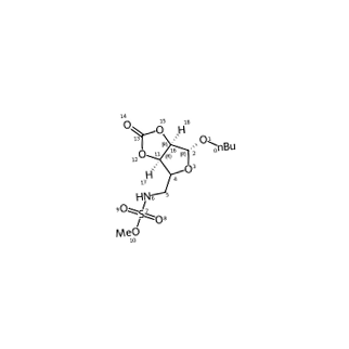 CCCCO[C@@H]1OC(CNS(=O)(=O)OC)[C@H]2OC(=O)O[C@@H]12